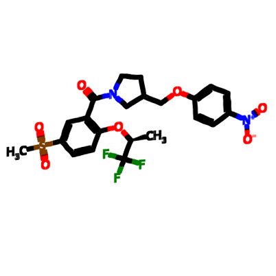 C[C@H](Oc1ccc(S(C)(=O)=O)cc1C(=O)N1CCC(COc2ccc([N+](=O)[O-])cc2)C1)C(F)(F)F